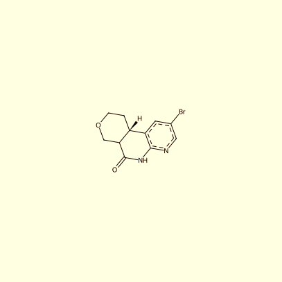 O=C1Nc2ncc(Br)cc2[C@H]2CCOCC12